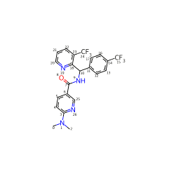 CN(C)c1ccc(C(=O)NC(c2ccc(C(F)(F)F)cc2)c2ncccc2C(F)(F)F)cn1